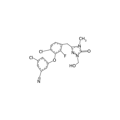 Cn1c(Cc2ccc(Cl)c(Oc3cc(Cl)cc(C#N)c3)c2F)nn(CO)c1=O